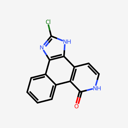 O=c1[nH]ccc2c3[nH]c(Cl)nc3c3ccccc3c12